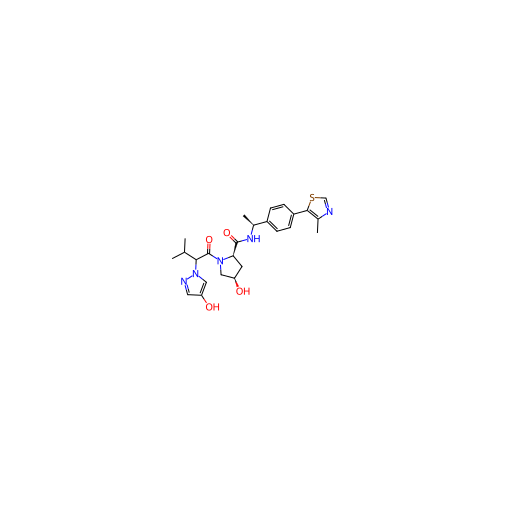 Cc1ncsc1-c1ccc([C@H](C)NC(=O)[C@H]2C[C@@H](O)CN2C(=O)C(C(C)C)n2cc(O)cn2)cc1